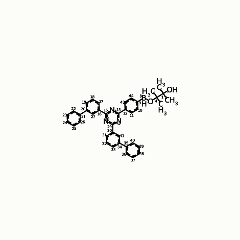 CC(C)(O)C(C)(C)OBc1ccc(-c2nc(-c3cccc(-c4ccccc4)c3)nc(-c3cccc(-c4ccccc4)c3)n2)cc1